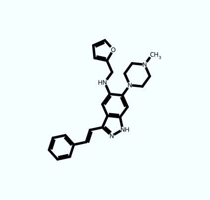 CN1CCN(c2cc3[nH]nc(C=Cc4ccccc4)c3cc2NCc2ccco2)CC1